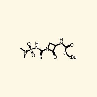 CN(C)S(=O)(=O)NC(=S)N1CC(NC(=O)OC(C)(C)C)C1=O